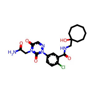 NC(=O)Cn1c(=O)cnn(-c2ccc(Cl)c(C(=O)NCC3(O)CCCCCCC3)c2)c1=O